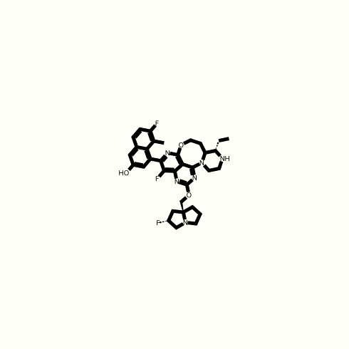 CC[C@@H]1NCCN2c3nc(OC[C@@]45CCCN4C[C@H](F)C5)nc4c(F)c(-c5cc(O)cc6ccc(F)c(C)c56)nc(c34)OCCC12